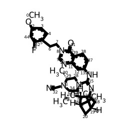 COc1ccc(CCn2cnc3cc(N/C(=N/C4C[C@@H]5C[C@H]([C@@H]4C)C5(C)C)N4C[C@@H](C)N(C#N)[C@@H](C)C4)ccc3c2=O)c(F)c1